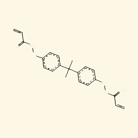 C=CC(=O)OOc1ccc(C(C)(C)c2ccc(OOC(=O)C=C)cc2)cc1